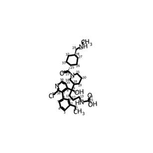 CCc1cccc(-c2c(C(O)(CCCNC(=O)O)C3CCCN(C(=O)[C@H]4CC[C@H](CNC)CC4)C3)ccnc2Cl)c1